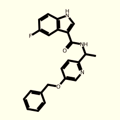 CC(NC(=O)c1c[nH]c2ccc(F)cc12)c1ccc(OCc2ccccc2)cn1